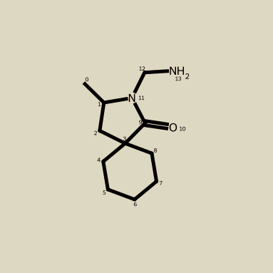 CC1CC2(CCCCC2)C(=O)N1CN